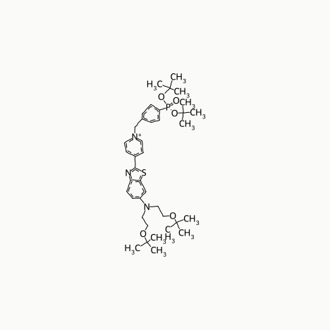 CC(C)(C)OCCN(CCOC(C)(C)C)c1ccc2nc(-c3cc[n+](Cc4ccc(P(=O)(OC(C)(C)C)OC(C)(C)C)cc4)cc3)sc2c1